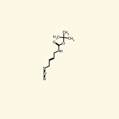 CC(C)(C)OC(=O)NC/C=C/CN=[N+]=[N-]